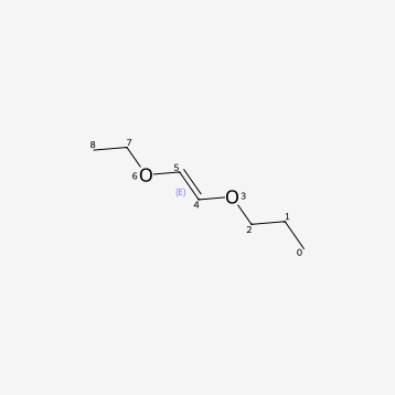 CCCO/C=C/OCC